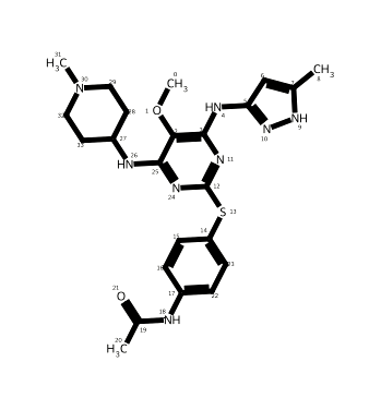 COc1c(Nc2cc(C)[nH]n2)nc(Sc2ccc(NC(C)=O)cc2)nc1NC1CCN(C)CC1